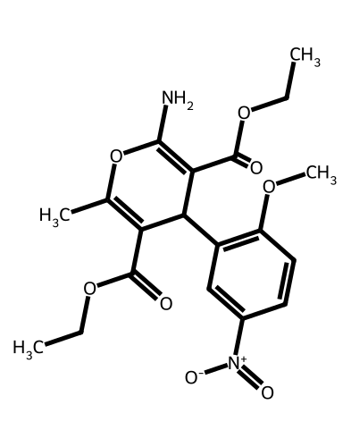 CCOC(=O)C1=C(C)OC(N)=C(C(=O)OCC)C1c1cc([N+](=O)[O-])ccc1OC